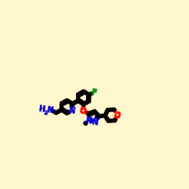 Cn1nc(C2CCOCC2)cc1Oc1cc(F)ccc1-c1ccc(CN)cn1